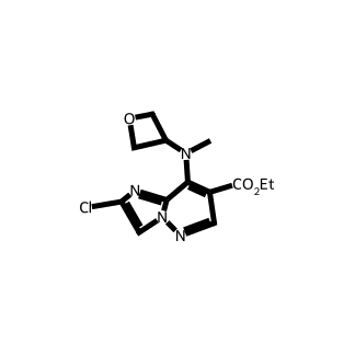 CCOC(=O)c1cnn2cc(Cl)nc2c1N(C)C1COC1